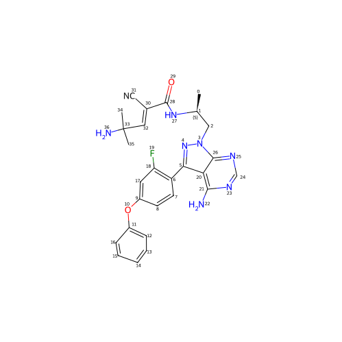 C[C@@H](Cn1nc(-c2ccc(Oc3ccccc3)cc2F)c2c(N)ncnc21)NC(=O)C(C#N)=CC(C)(C)N